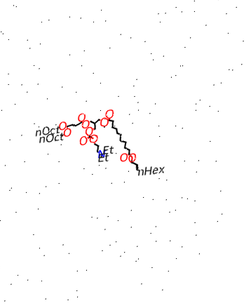 CCCCCCC=CCOC(=O)CCCCCCCCCC(=O)OCC(COC(=O)CCC(OCCCCCCCC)OCCCCCCCC)COC(=O)OCCCN(CC)CC